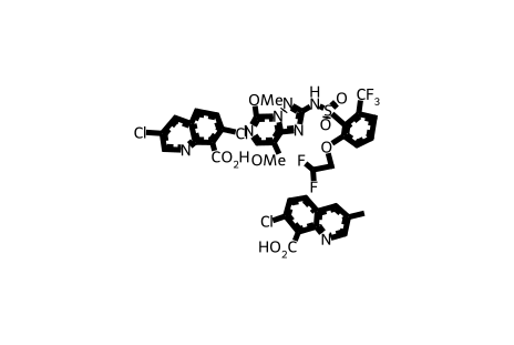 COc1cnc(OC)n2nc(NS(=O)(=O)c3c(OCC(F)F)cccc3C(F)(F)F)nc12.Cc1cnc2c(C(=O)O)c(Cl)ccc2c1.O=C(O)c1c(Cl)ccc2cc(Cl)cnc12